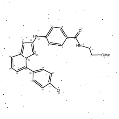 COCCNC(=O)c1ccc(Nc2nc3cccc(-c4ccc(Cl)cc4)n3n2)cc1